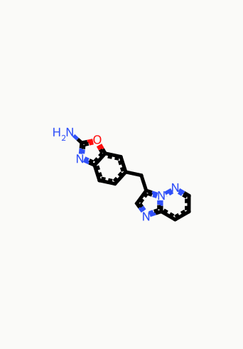 Nc1nc2ccc(Cc3cnc4cccnn34)cc2o1